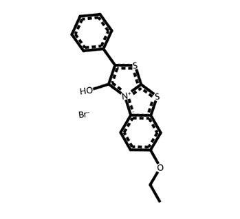 CCOc1ccc2c(c1)sc1sc(-c3ccccc3)c(O)[n+]12.[Br-]